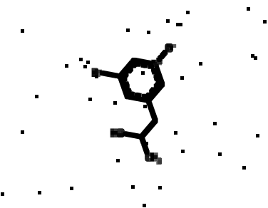 CC(O)Cc1cc(Br)c[n+]([O-])c1